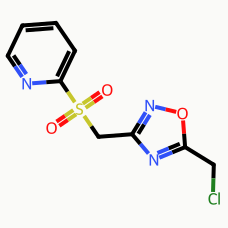 O=S(=O)(Cc1noc(CCl)n1)c1ccccn1